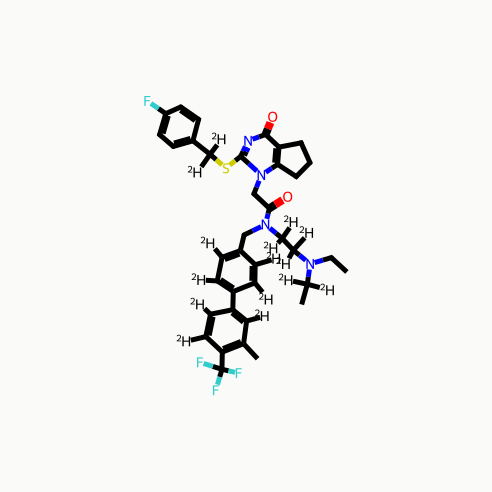 [2H]c1c([2H])c(-c2c([2H])c([2H])c(C(F)(F)F)c(C)c2[2H])c([2H])c([2H])c1CN(C(=O)Cn1c(SC([2H])([2H])c2ccc(F)cc2)nc(=O)c2c1CCC2)C([2H])([2H])C([2H])([2H])N(CC)C([2H])([2H])C